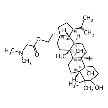 C=C(C)[C@@H]1CC[C@]2(CCOC(=O)CN(C)C)CC[C@]3(C)[C@H](CC[C@@H]4[C@@]5(C)CCC(O)C(C)(C)[C@@H]5CC[C@]43C)[C@@H]12